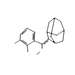 COC(=C1C2CC3CC(C2)CC1C3)c1cccc(O)c1Cl